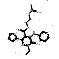 CCn1nc(-c2cccs2)c(C(=O)OCCOC(C)=O)c(Nc2cccnc2)c1=O